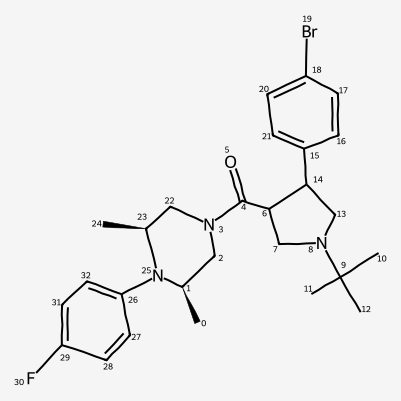 C[C@@H]1CN(C(=O)C2CN(C(C)(C)C)CC2c2ccc(Br)cc2)C[C@H](C)N1c1ccc(F)cc1